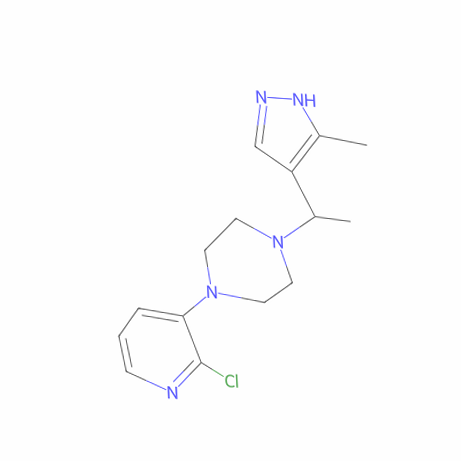 Cc1[nH]ncc1C(C)N1CCN(c2cccnc2Cl)CC1